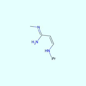 C/N=C(N)/C=C\NC(C)C